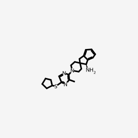 Cc1nc(SC2CCCC2)cnc1N1CCC2(CC1)Cc1ccccc1[C@H]2N